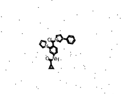 O=C(Nc1ccc(C(=O)N2CCC(c3ccccc3)C2)c(N2CCCC2)c1)C1CC1